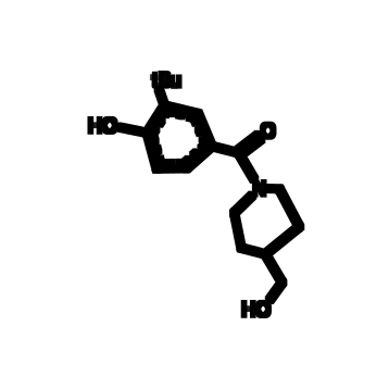 CC(C)(C)c1cc(C(=O)N2CCC(CO)CC2)ccc1O